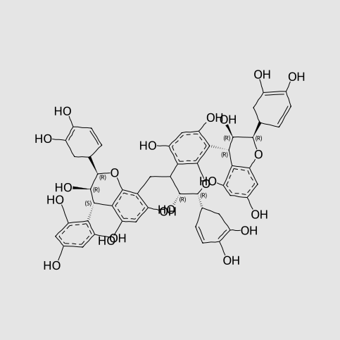 OC1=C(O)CC([C@H]2Oc3cc(O)cc(O)c3[C@H](c3c(O)cc(O)c4c3O[C@H](C3C=CC(O)=C(O)C3)[C@H](O)C4Cc3c(O)cc(O)c4c3O[C@H](C3C=CC(O)=C(O)C3)[C@H](O)[C@H]4c3c(O)cc(O)cc3O)[C@H]2O)C=C1